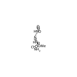 COc1cc(N)c(Cl)cc1C(=O)NC[C@H]1CCN(CCCCNC(=O)N2CCOCC2)C1